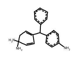 Nc1ccc(C(C2=CCC(N)(N)C=C2)c2ccccc2)cc1